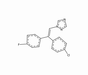 Fc1ccc(C(=Cn2cncn2)c2ccc(Cl)cc2)cc1